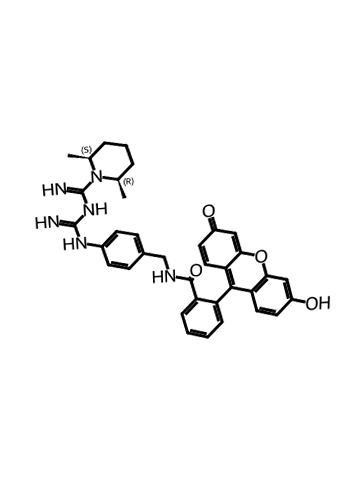 C[C@@H]1CCC[C@H](C)N1C(=N)NC(=N)Nc1ccc(CNC(=O)c2ccccc2-c2c3ccc(=O)cc-3oc3cc(O)ccc23)cc1